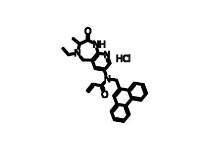 C=CC(=O)N(Cc1cc2ccccc2c2ccccc12)c1cnc2c(c1)CN(CC)C(C)C(=O)N2.Cl